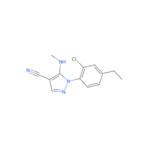 CCc1ccc(-n2ncc(C#N)c2NC)c(Cl)c1